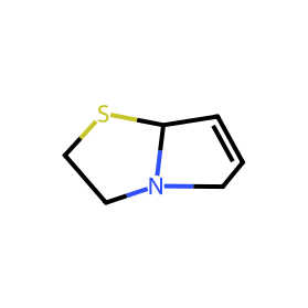 C1=CC2SCCN2C1